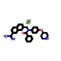 Cl.Cl.N=C(N)c1ccc2ccc(CN(C(=O)c3ccccc3)c3ccc(OC4CCNCC4)cc3)cc2c1